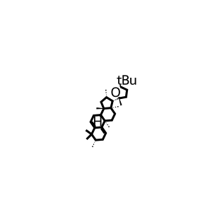 C[C@H]1C[C@@]2(C)[C@@H]3CC=C4C(=CC[C@H](C)C4(C)C)[C@]3(C)CC[C@]2(C)[C@H]1[C@@]1(C)CC[C@@H](C(C)(C)C)O1